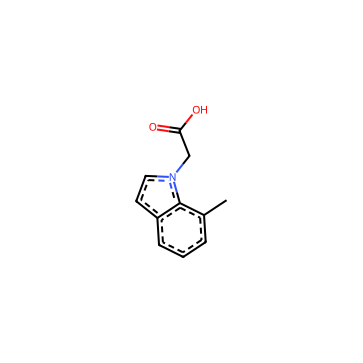 Cc1cccc2ccn(CC(=O)O)c12